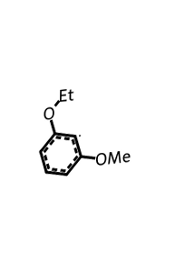 CCOc1[c]c(OC)ccc1